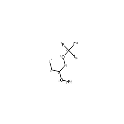 CCOC(CI)COC(F)(F)I